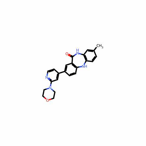 Cc1ccc2c(c1)NC(=O)c1cc(-c3ccnc(N4CCOCC4)c3)ccc1N2